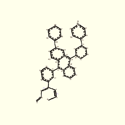 C=C/C=C(\C=C/C)c1cccc(-c2c3ccccc3c(-c3cccc(-c4ccncc4)c3)c3cc(-c4ccccc4)ccc23)c1